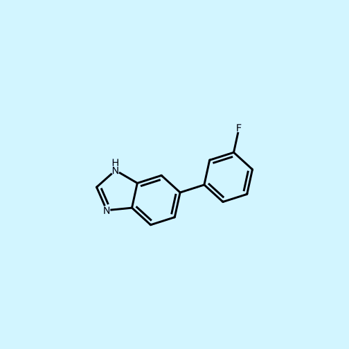 Fc1cccc(-c2ccc3nc[nH]c3c2)c1